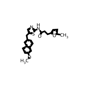 COc1ccc2cc(Cc3cnc(NC(=O)CCc4ccc(C)o4)s3)ccc2c1